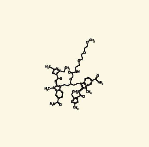 CCn1nc(C)cc1C(=O)N=c1n(C)c2cc(C(N)=O)ccc2n1CCC(CCn1c(=NC(=O)c2cc(C)nn2CC)n(C)c2cc(C(N)=O)ccc21)OCC(=O)NCCOCCOCCOC